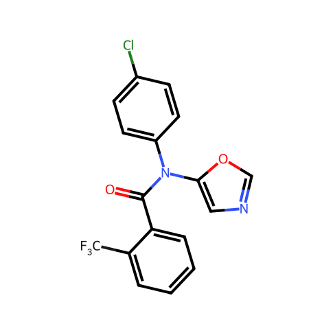 O=C(c1ccccc1C(F)(F)F)N(c1ccc(Cl)cc1)c1cnco1